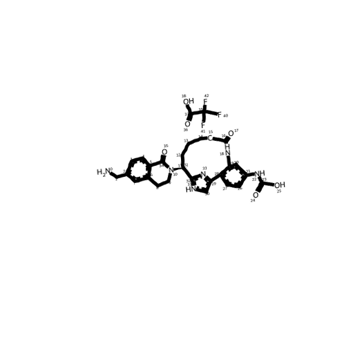 NCc1ccc2c(c1)CCN([C@H]1CCCCC(=O)Nc3cc(NC(=O)O)ccc3-c3c[nH]c1n3)C2=O.O=C(O)C(F)(F)F